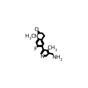 Cc1c(CN)cncc1-c1cc2c(cc1F)N(C)C(=O)CC2